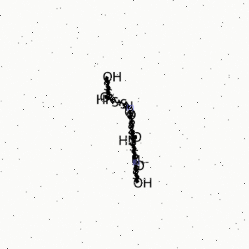 O=C(NCSCCSC/N=C\OOCSCCSCSC(=O)NCSCCSC/N=C/[S+]([O-])CCSCCO)SCCSCCO